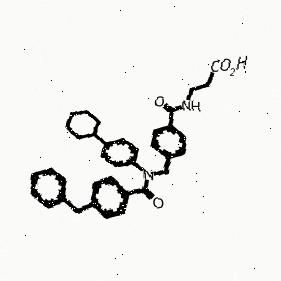 O=C(O)CCNC(=O)c1ccc(CN(C(=O)c2ccc(Cc3ccccc3)cc2)c2ccc(C3CCCCC3)cc2)cc1